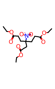 CCOC(=O)CCC(CCC(=O)OCC)(CC(=O)OCC)[N+](=O)[O-]